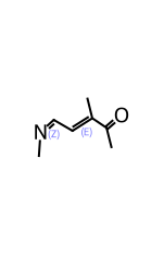 C/N=C\C=C(/C)C(C)=O